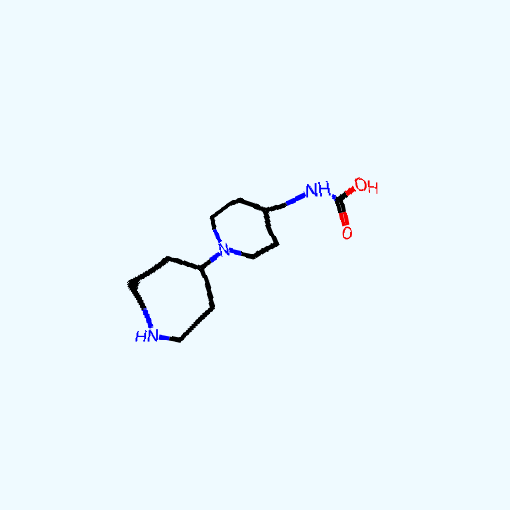 O=C(O)NC1CCN(C2CCNCC2)CC1